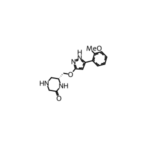 COc1ccccc1-c1cc(OC[C@H]2CNCC(=O)N2)n[nH]1